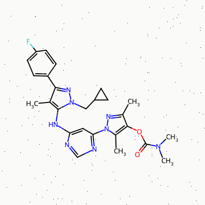 Cc1nn(-c2cc(Nc3c(C)c(-c4ccc(F)cc4)nn3CC3CC3)ncn2)c(C)c1OC(=O)N(C)C